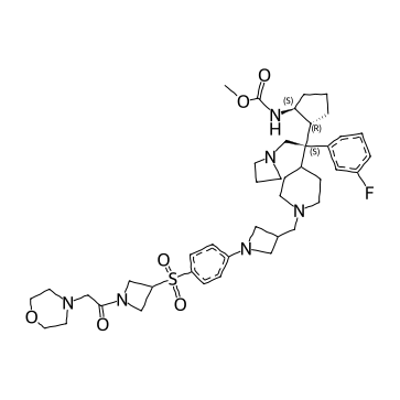 COC(=O)N[C@H]1CCC[C@@H]1[C@](CN1CCC1)(c1cccc(F)c1)C1CCN(CC2CN(c3ccc(S(=O)(=O)C4CN(C(=O)CN5CCOCC5)C4)cc3)C2)CC1